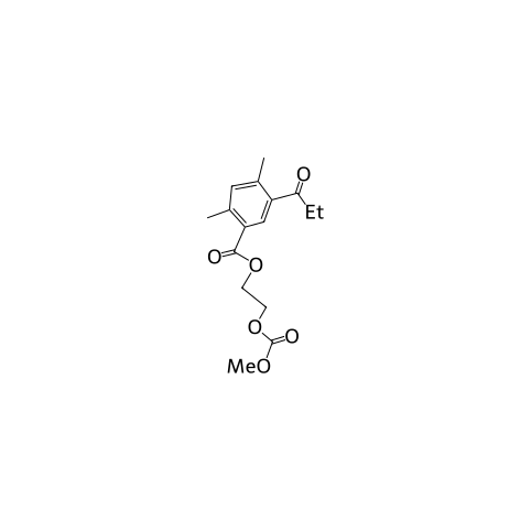 CCC(=O)c1cc(C(=O)OCCOC(=O)OC)c(C)cc1C